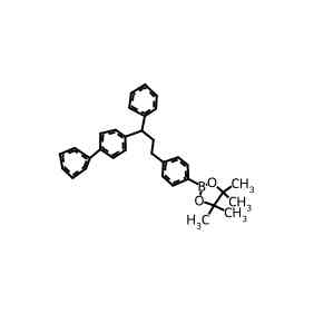 CC1(C)OB(c2ccc(CCC(c3ccccc3)c3ccc(-c4ccccc4)cc3)cc2)OC1(C)C